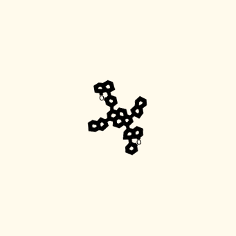 c1ccc2c(c1)Oc1cccc3c(-c4cc(-c5ccc6ccccc6c5)c5ccc6c(-c7ccc8c(c7)Oc7cccc9cccc-8c79)cc(-c7ccc8ccccc8c7)c7ccc4c5c67)ccc-2c13